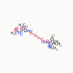 CC(=O)Nc1cc(NCCOCCOCCOCCOCCNC(=O)C[C@@H]2N=C(c3ccc(Cl)cc3)c3c(sc(C)c3C)-n3c(C)nnc32)ccc1C(=O)Nc1nc(C)c([N+](=O)[O-])s1